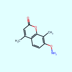 Cc1cc(=O)oc2c(C)c(ON)ccc12